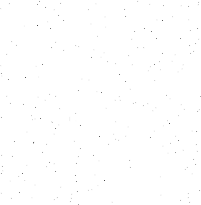 [Ru][C]1=CC=CCCCC1